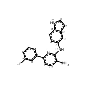 Nc1ncc(-c2cccc(F)c2)nc1Nc1ccc2[nH]ccc2c1